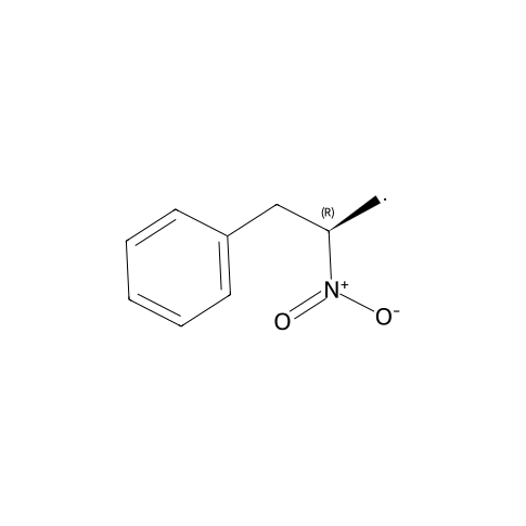 [CH2][C@H](Cc1ccccc1)[N+](=O)[O-]